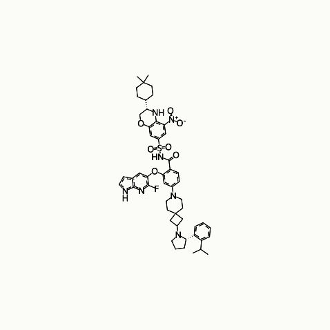 CC(C)c1ccccc1[C@@H]1CCCN1C1CC2(CCN(c3ccc(C(=O)NS(=O)(=O)c4cc5c(c([N+](=O)[O-])c4)N[C@@H](C4CCC(C)(C)CC4)CO5)c(Oc4cc5cc[nH]c5nc4F)c3)CC2)C1